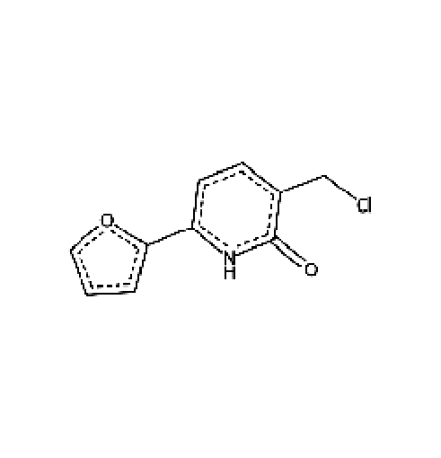 O=c1[nH]c(-c2ccco2)ccc1CCl